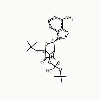 CN1C(=O)[C@]2(CC(C)(C)C)O[C@@H](n3cnc4c(N)ncnc43)C1C2OP(=O)(O)OC(C)(C)C